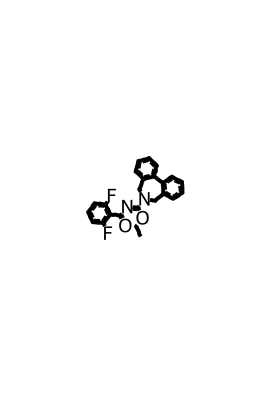 CCOC(=NC(=O)c1c(F)cccc1F)N1Cc2ccccc2-c2ccccc2C1